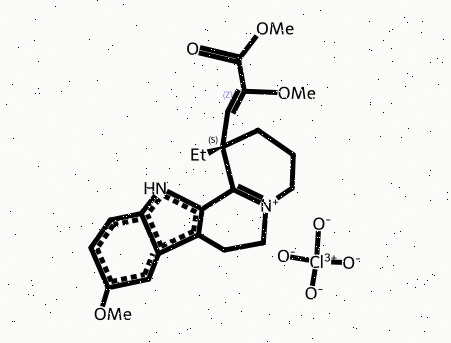 CC[C@@]1(/C=C(\OC)C(=O)OC)CCC[N+]2=C1c1[nH]c3ccc(OC)cc3c1CC2.[O-][Cl+3]([O-])([O-])[O-]